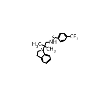 CC(C)(CNSc1ccc(C(F)(F)F)cc1)N1CCc2ccccc21